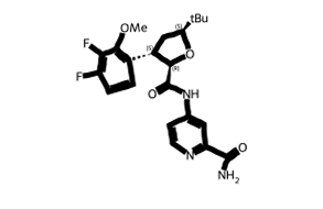 COc1c([C@@H]2C[C@@H](C(C)(C)C)O[C@H]2C(=O)Nc2ccnc(C(N)=O)c2)ccc(F)c1F